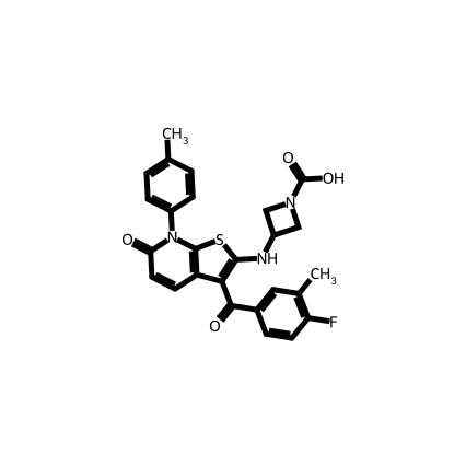 Cc1ccc(-n2c(=O)ccc3c(C(=O)c4ccc(F)c(C)c4)c(NC4CN(C(=O)O)C4)sc32)cc1